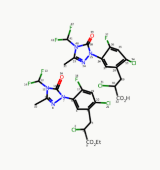 CCOC(=O)C(Cl)Cc1cc(-n2nc(C)n(C(F)F)c2=O)c(F)cc1Cl.Cc1nn(-c2cc(CC(Cl)C(=O)O)c(Cl)cc2F)c(=O)n1C(F)F